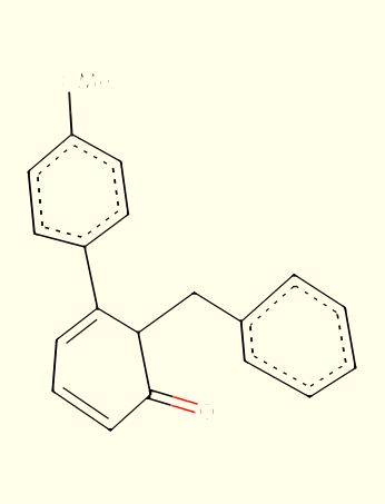 COc1ccc(C2=CC=CC(=O)C2Cc2ccccc2)cc1